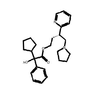 O=C(OCC[C@@H](CN1CCCC1)c1ccccn1)C(O)(c1ccccc1)C1CCCC1